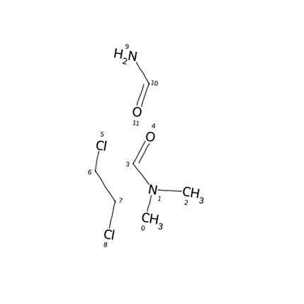 CN(C)C=O.ClCCCl.NC=O